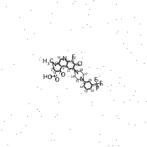 Cn1cc(C(=O)O)c(=O)c2c3cc(N4CCN(c5cccc(C(F)(F)F)c5)CC4)c(Cl)c(F)c3ncc21